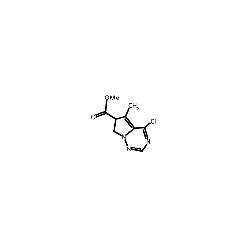 COC(=O)C1CN2N=CN=C(Cl)C2=C1C